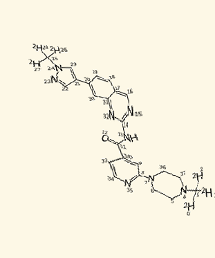 [2H]C([2H])([2H])N1CCN(c2cc(C(=O)Nc3ncc4ccc(-c5cnn(C([2H])([2H])[2H])c5)cc4n3)ccn2)CC1